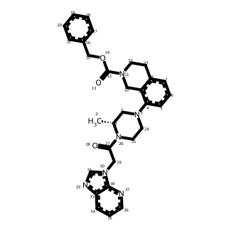 C[C@@H]1CN(c2cccc3c2CN(C(=O)OCc2ccccc2)CC3)CCN1C(=O)Cn1cnc2cccnc21